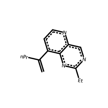 C=C(CCC)c1ccnc2cnc(CC)nc12